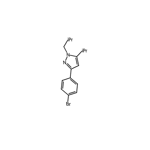 CC(C)Cn1nc(-c2ccc(Br)cc2)cc1C(C)C